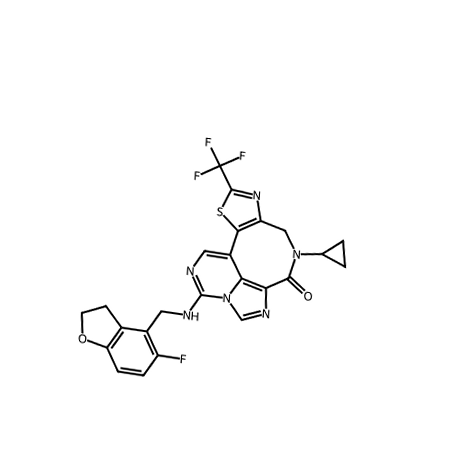 O=C1c2ncn3c(NCc4c(F)ccc5c4CCO5)ncc(c23)-c2sc(C(F)(F)F)nc2CN1C1CC1